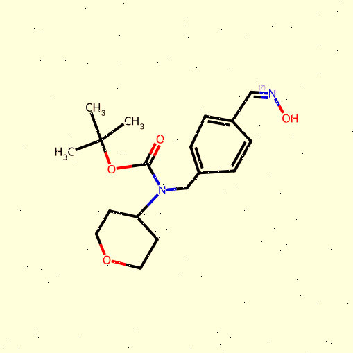 CC(C)(C)OC(=O)N(Cc1ccc(/C=N\O)cc1)C1CCOCC1